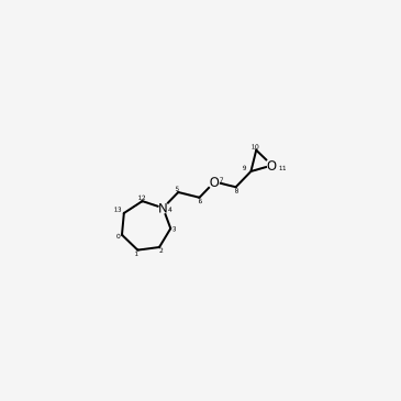 C1CCCN(CCOCC2CO2)CC1